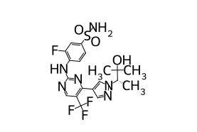 C[C@H](n1cc(-c2nc(Nc3ccc(S(N)(=O)=O)cc3F)ncc2C(F)(F)F)cn1)C(C)(C)O